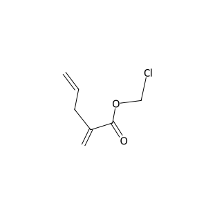 C=CCC(=C)C(=O)OCCl